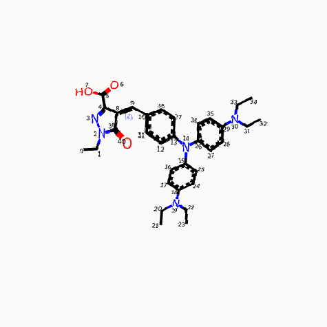 CCN1N=C(C(=O)O)/C(=C/c2ccc(N(c3ccc(N(CC)CC)cc3)c3ccc(N(CC)CC)cc3)cc2)C1=O